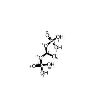 O=P(O)(O)OC(Cl)OP(=O)(O)O